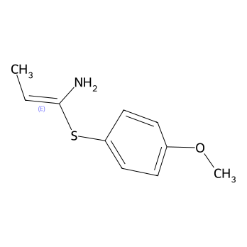 C/C=C(\N)Sc1ccc(OC)cc1